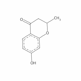 CC1CC(=O)c2ccc(O)cc2O1